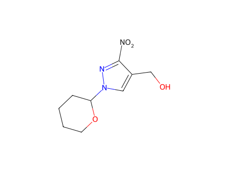 O=[N+]([O-])c1nn(C2CCCCO2)cc1CO